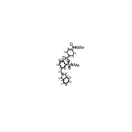 CNC(=O)N1CCC(COc2ccc(CN3Cc4ccccc4C3)cc2S(=O)(=O)NC)CC1